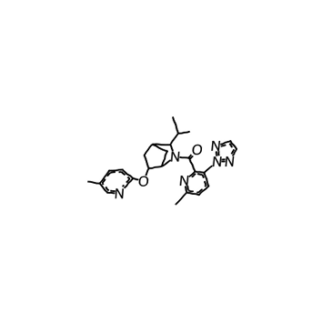 Cc1ccc(OC2CC3CC2N(C(=O)c2nc(C)ccc2-n2nccn2)C3C(C)C)nc1